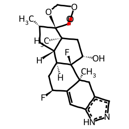 C[C@H]1C[C@H]2[C@@H]3C[C@H](F)C4=Cc5[nH]ncc5C[C@]4(C)[C@@]3(F)[C@@H](O)C[C@]2(C)[C@]12OCOC21COCO1